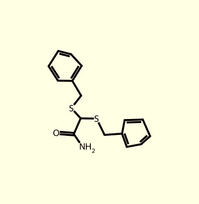 NC(=O)C(SCc1ccccc1)SCc1ccccc1